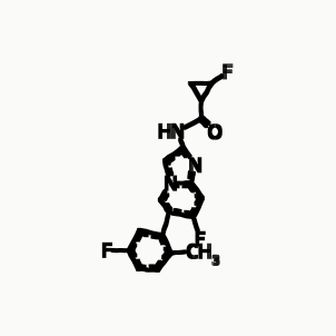 Cc1ccc(F)cc1-c1cn2cc(NC(=O)C3CC3F)nc2cc1F